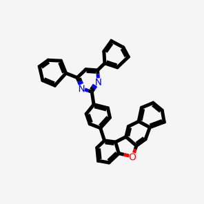 c1ccc(-c2cc(-c3ccccc3)nc(-c3ccc(-c4cccc5oc6cc7ccccc7cc6c45)cc3)n2)cc1